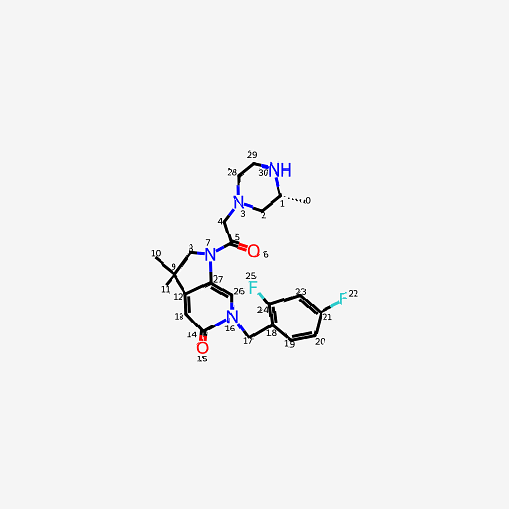 C[C@@H]1CN(CC(=O)N2CC(C)(C)c3cc(=O)n(Cc4ccc(F)cc4F)cc32)CCN1